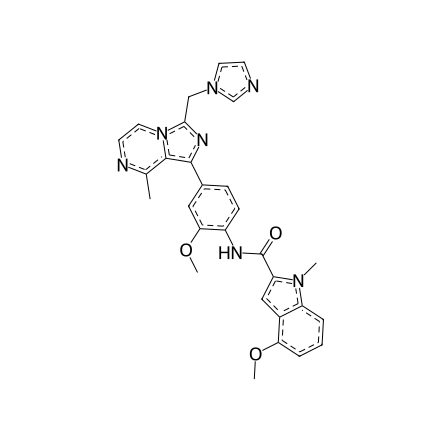 COc1cc(-c2nc(Cn3ccnc3)n3ccnc(C)c23)ccc1NC(=O)c1cc2c(OC)cccc2n1C